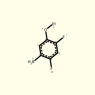 Bc1cc(OCC)c(F)cc1F